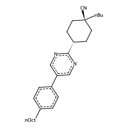 CCCCCCCCc1ccc(-c2cnc([C@H]3CC[C@@](C#N)(CCCC)CC3)nc2)cc1